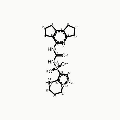 O=C(Nc1nc2c(c3c1CCC3)CCC2)NS(=O)(=O)c1cnn2c1NCCC2